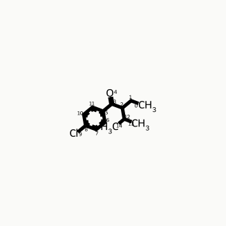 CCC(C(=O)c1ccc(Cl)cc1)C(C)C